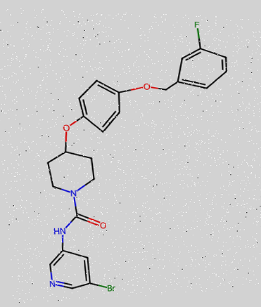 O=C(Nc1cncc(Br)c1)N1CCC(Oc2ccc(OCc3cccc(F)c3)cc2)CC1